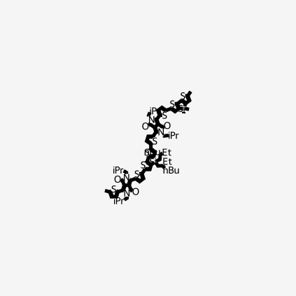 CCCCC(CC)C[Si]1(CC(CC)CCCC)c2cc(-c3ccc(C4=C5C(=O)N(CC(C)C)C(c6ccc(C)s6)=C5C(=O)N4CC(C)C)s3)sc2-c2sc(-c3ccc(C4=C5C(=O)N(CC(C)C)C(c6ccc(-c7cc8c(s7)-c7sc(C)cc7[Si]8(C)C)s6)=C5C(=O)N4CC(C)C)s3)cc21